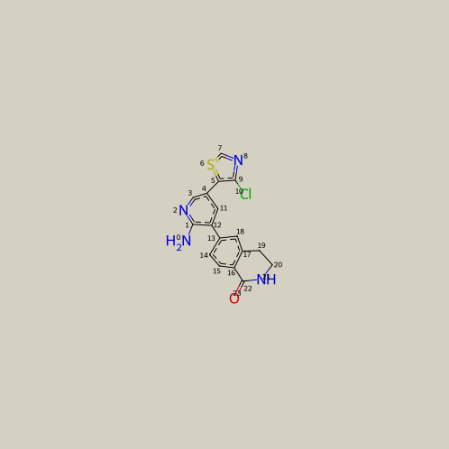 Nc1ncc(-c2scnc2Cl)cc1-c1ccc2c(c1)CCNC2=O